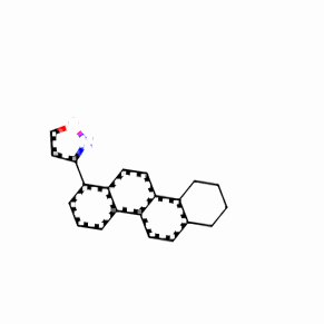 c1cc(-c2ccon2)c2ccc3c4c(ccc3c2c1)CCCC4